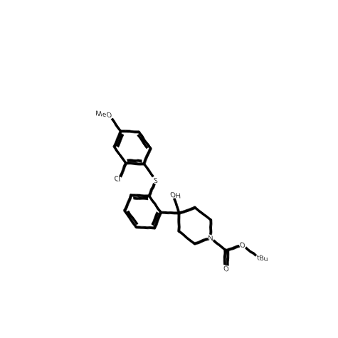 COc1ccc(Sc2ccccc2C2(O)CCN(C(=O)OC(C)(C)C)CC2)c(Cl)c1